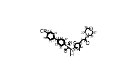 O=C(Cc1cnc(NS(=O)(=O)c2ccc(-c3ccc(Cl)cc3)cc2)s1)N1CCOCC1